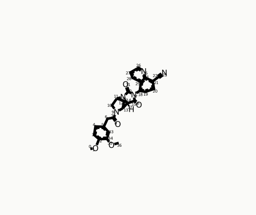 COc1ccc(CC(=O)N2CC3CC2[C@H]2C(=O)N(c4ccc(C#N)c5ncccc45)C(=O)N32)cc1OC